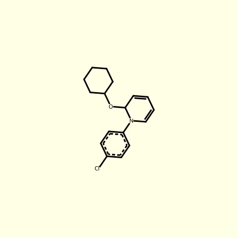 Clc1ccc(N2C=CC=CC2OC2CCCCC2)cc1